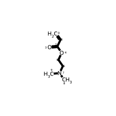 C=[C]C(=O)OCCN(C)C